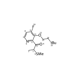 CSC(C)C(=O)c1nccc(F)c1OCCC(C)(C)C